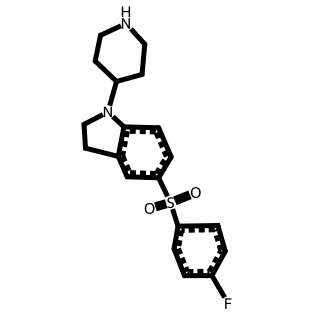 O=S(=O)(c1ccc(F)cc1)c1ccc2c(c1)CCN2C1CCNCC1